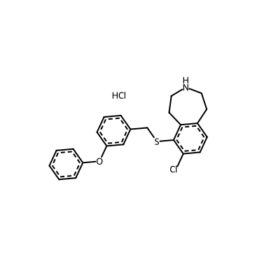 Cl.Clc1ccc2c(c1SCc1cccc(Oc3ccccc3)c1)CCNCC2